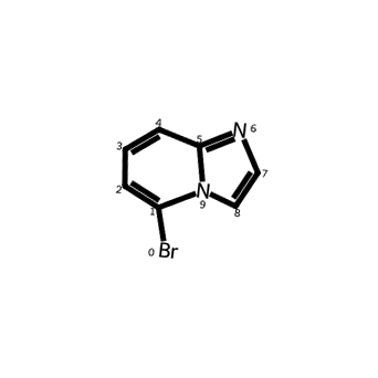 Brc1cccc2nccn12